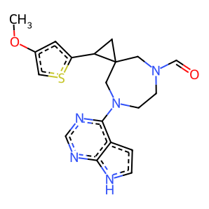 COc1csc(C2CC23CN(C=O)CCN(c2ncnc4[nH]ccc24)C3)c1